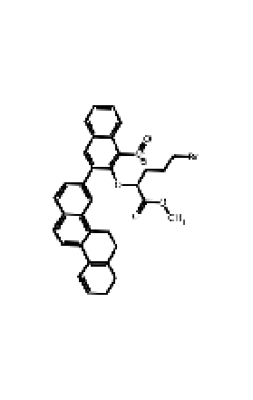 COC(=O)C(CCCBr)Oc1c(-c2ccc3ccc4c(c3c2)CCC2=C4C=CCC2)cc2ccccc2c1[N+](=O)[O-]